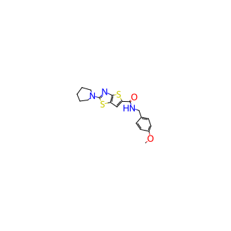 COc1ccc(CNC(=O)c2cc3sc(N4CCCCC4)nc3s2)cc1